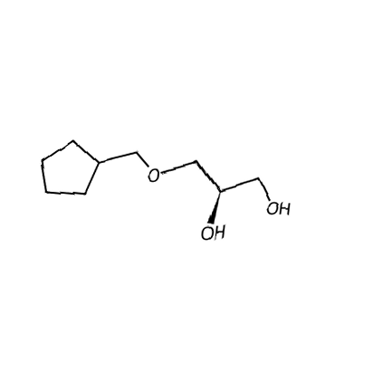 OC[C@@H](O)COCC1CCCC1